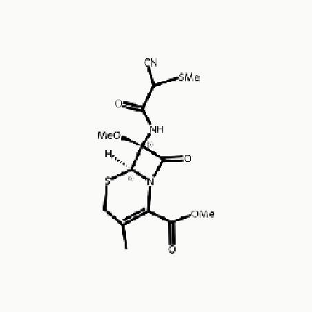 COC(=O)C1=C(C)CS[C@@H]2N1C(=O)[C@]2(NC(=O)C(C#N)SC)OC